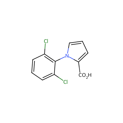 O=C(O)c1cccn1-c1c(Cl)cccc1Cl